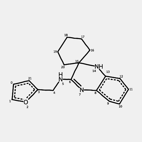 c1coc(CNC2=Nc3ccccc3NC23CCCCC3)c1